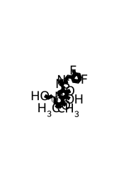 CC1(C)C[C@@H](CCO)n2cc(-c3nnc(Cc4ccc(F)cc4F)s3)c(=O)c(O)c2C1=O